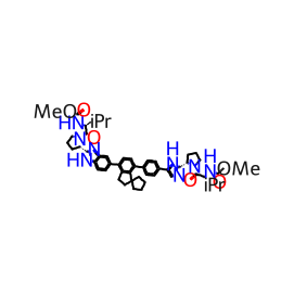 COC(=O)N[C@H](C(=O)N1CCC[C@H]1c1ncc(-c2ccc(-c3ccc(-c4ccc5[nH]c([C@@H]6CCCN6C(=O)[C@@H](NC(=O)OC)C(C)C)nc5c4)c4c3C3(CCCC3)CC4)cc2)[nH]1)C(C)C